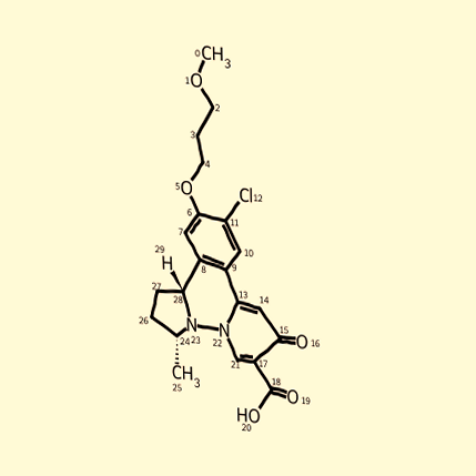 COCCCOc1cc2c(cc1Cl)-c1cc(=O)c(C(=O)O)cn1N1[C@H](C)CC[C@H]21